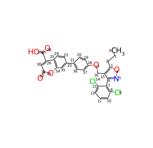 CCCc1onc(-c2c(Cl)cccc2Cl)c1COc1ccc(-c2ccc3c(C(=O)O)cc(=O)oc3c2)cc1